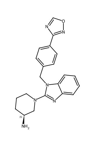 N[C@H]1CCCN(c2nc3ccccc3n2Cc2ccc(-c3ncon3)cc2)C1